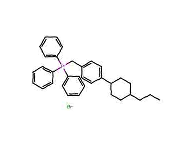 CCCC1CCC(c2ccc(C[P+](c3ccccc3)(c3ccccc3)c3ccccc3)cc2)CC1.[Br-]